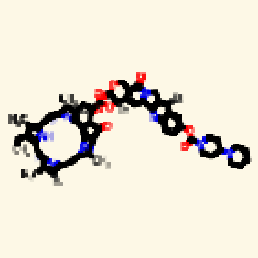 C=Cc1c2[nH]c(c1C)/C=C1\N=C(C3=C4NC(CC5=N/C(=C\2)C(C)=C5CC)C(C)=C4C(=O)C3C(=O)OC)C(CCC(=O)OC2(CC)C(=O)OCc3c2cc2n(c3=O)Cc3c-2nc2ccc(OC(=O)N4CCC(N5CCCCC5)CC4)cc2c3CC)[C@H]1C